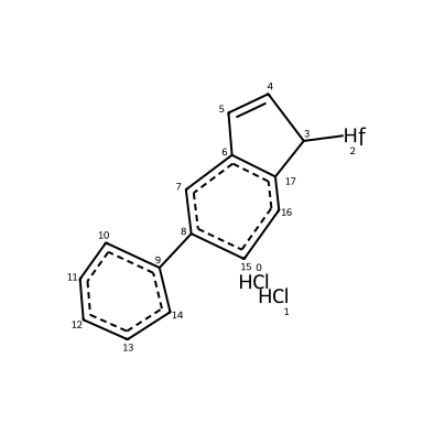 Cl.Cl.[Hf][CH]1C=Cc2cc(-c3ccccc3)ccc21